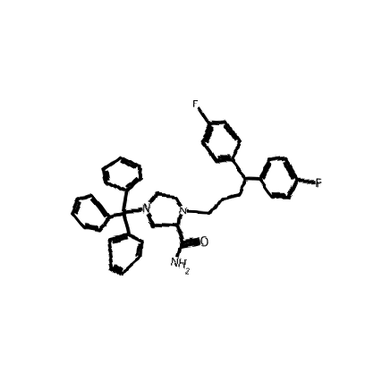 NC(=O)C1CN(C(c2ccccc2)(c2ccccc2)c2ccccc2)CCN1CCCC(c1ccc(F)cc1)c1ccc(F)cc1